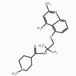 Cc1cc(N)c2c(OCC(C)(C)NC(=O)C3CCN(C)CC3)cccc2n1